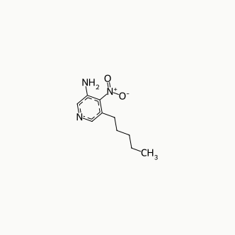 CCCCCc1cncc(N)c1[N+](=O)[O-]